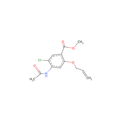 C=CCOc1cc(NC(C)=O)c(Cl)cc1C(=O)OC